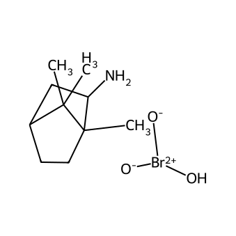 CC1(C)C2CCC1(C)C(N)C2.[O-][Br+2]([O-])O